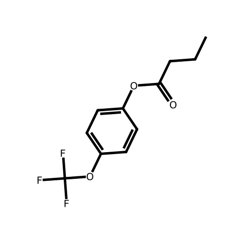 CCCC(=O)Oc1ccc(OC(F)(F)F)cc1